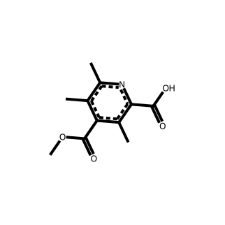 COC(=O)c1c(C)c(C)nc(C(=O)O)c1C